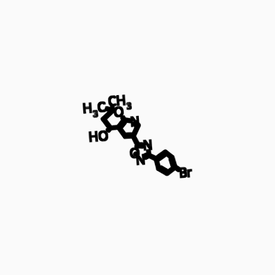 CC1(C)CC(O)c2cc(-c3nc(-c4ccc(Br)cc4)no3)cnc2O1